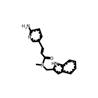 CN(Cc1cc2ccccc2[nH]1)C(=O)/C=C/c1ccc(N)nc1